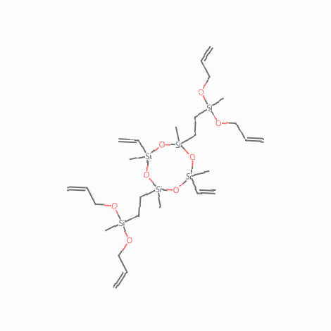 C=CCO[Si](C)(CC[Si]1(C)O[Si](C)(C=C)O[Si](C)(CC[Si](C)(OCC=C)OCC=C)O[Si](C)(C=C)O1)OCC=C